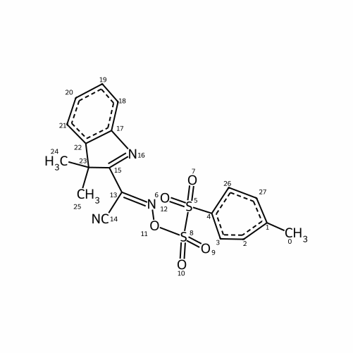 Cc1ccc(S(=O)(=O)S(=O)(=O)O/N=C(\C#N)C2=Nc3ccccc3C2(C)C)cc1